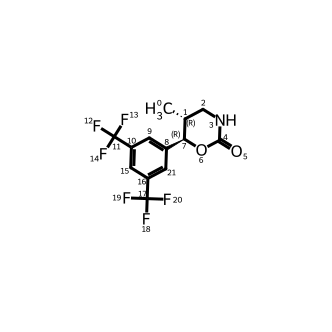 C[C@@H]1CNC(=O)O[C@H]1c1cc(C(F)(F)F)cc(C(F)(F)F)c1